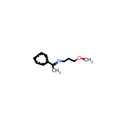 COCCCN=C(C)c1ccccc1